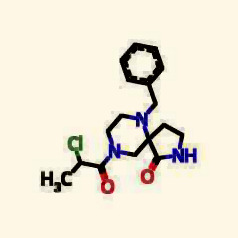 CC(Cl)C(=O)N1CCN(Cc2ccccc2)C2(CCNC2=O)C1